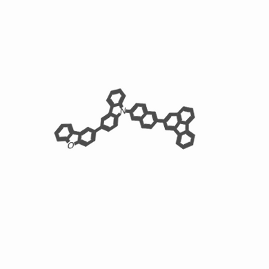 c1ccc2c(c1)-c1cccc3cc(-c4ccc5cc(-n6c7ccccc7c7cc(-c8ccc9oc%10ccccc%10c9c8)ccc76)ccc5c4)cc-2c13